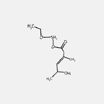 CCO[SiH2]OC(=O)C(C)=CC(C)O